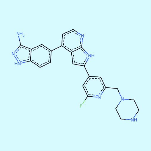 Nc1n[nH]c2ccc(-c3ccnc4[nH]c(-c5cc(F)nc(CN6CCNCC6)c5)cc34)cc12